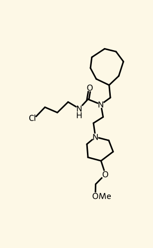 COCOC1CCN(CCN(CC2CCCCCCC2)C(=O)NCCCCl)CC1